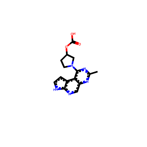 Cc1nc(N2CCC(OC(=O)O)C2)c2c(cnc3[nH]ccc32)n1